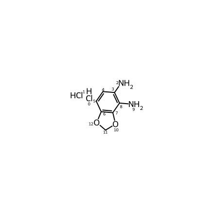 Cl.Cl.Nc1ccc2c(c1N)OCO2